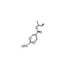 C=CC(C)OC(=O)C1COC(C=O)OC1